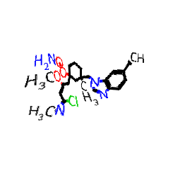 C#Cc1ccc2ncn(CC3(C)CCCC(C/C(=C\C(Cl)=N/C)OC)(OON)C3)c2c1